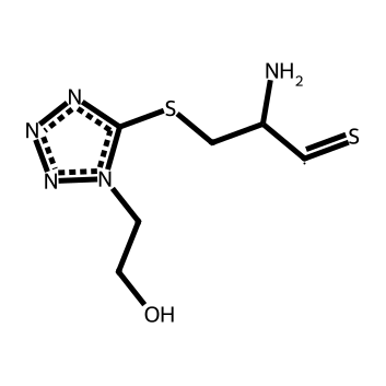 NC([C]=S)CSc1nnnn1CCO